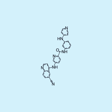 N#Cc1ccc2nccc(Nc3ccc(C(=O)Nc4cccc(Nc5ccncc5)c4)nc3)c2c1